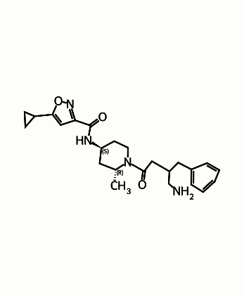 C[C@@H]1C[C@@H](NC(=O)c2cc(C3CC3)on2)CCN1C(=O)CC(CN)Cc1ccccc1